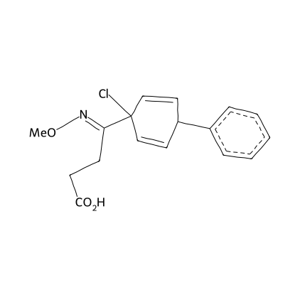 CO/N=C(\CCC(=O)O)C1(Cl)C=CC(c2ccccc2)C=C1